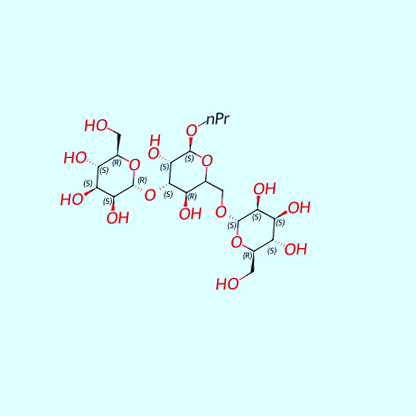 CCCO[C@H]1OC(CO[C@H]2O[C@H](CO)[C@@H](O)[C@H](O)[C@@H]2O)[C@@H](O)[C@H](O[C@H]2O[C@H](CO)[C@@H](O)[C@H](O)[C@@H]2O)[C@@H]1O